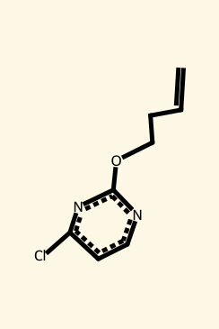 C=CCCOc1nccc(Cl)n1